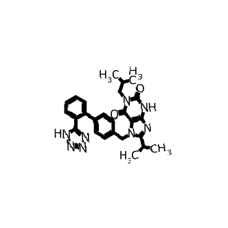 CC(C)Cn1c(=O)[nH]c2nc(C(C)C)n(Cc3ccc(-c4ccccc4-c4nnn[nH]4)cc3)c2c1=O